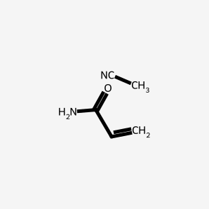 C=CC(N)=O.CC#N